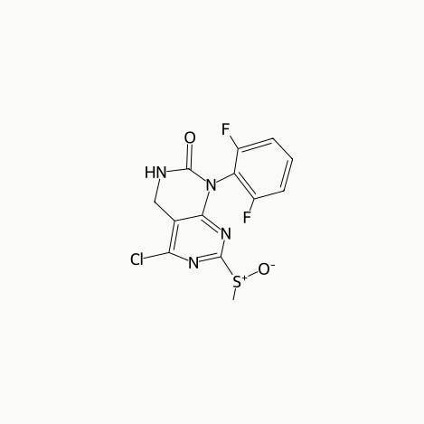 C[S+]([O-])c1nc(Cl)c2c(n1)N(c1c(F)cccc1F)C(=O)NC2